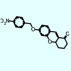 O=C1CCCC2Oc3cc(OCc4ccc([N+](=O)[O-])cc4)ccc3C=C12